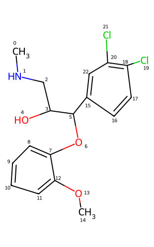 CNCC(O)C(Oc1ccccc1OC)c1ccc(Cl)c(Cl)c1